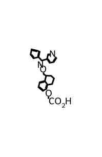 O=C(O)COc1cccc2c1CCCC2CON=C(c1ccccc1)c1cccnc1